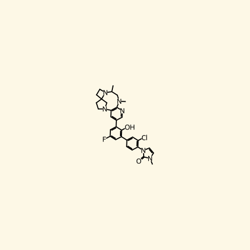 CC1CN(C)c2ncc(-c3cc(F)cc(-c4ccc(-n5ccn(C)c5=O)c(Cl)c4)c3O)cc2N2CCC3(CCN13)C2